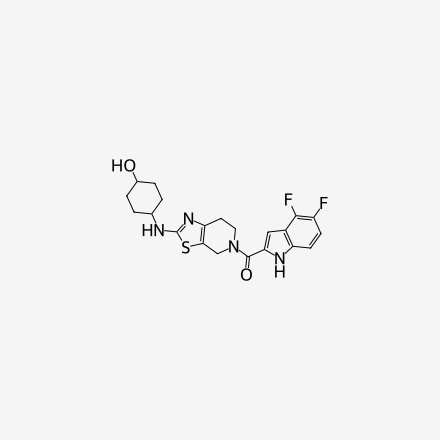 O=C(c1cc2c(F)c(F)ccc2[nH]1)N1CCc2nc(NC3CCC(O)CC3)sc2C1